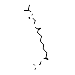 CC(C)OS(=O)COC(=O)CCCCCCC(=O)OC[S+](C)[O-]